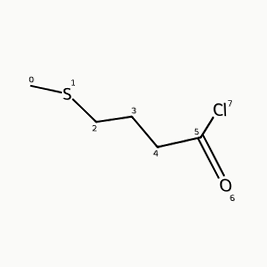 CSCCCC(=O)Cl